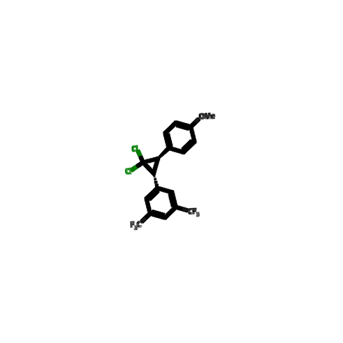 COc1ccc([C@H]2[C@H](c3cc(C(F)(F)F)cc(C(F)(F)F)c3)C2(Cl)Cl)cc1